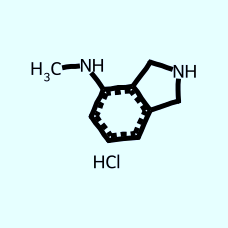 CNc1cccc2c1CNC2.Cl